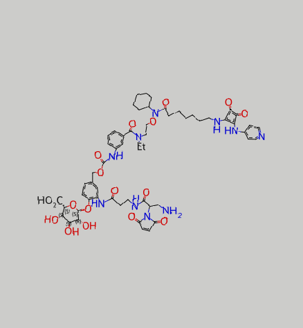 CCN(CCON(C(=O)CCCCCCNc1c(Nc2ccncc2)c(=O)c1=O)C1CCCCC1)C(=O)c1cccc(NC(=O)OCc2ccc(O[C@@H]3O[C@H](C(=O)O)[C@@H](O)[C@H](O)[C@H]3O)c(NC(=O)CCNC(=O)C(CN)N3C(=O)C=CC3=O)c2)c1